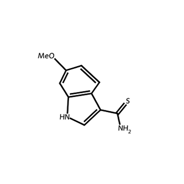 COc1ccc2c(C(N)=S)c[nH]c2c1